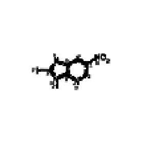 O=[N+]([O-])c1cnc2[nH]c(I)nc2c1